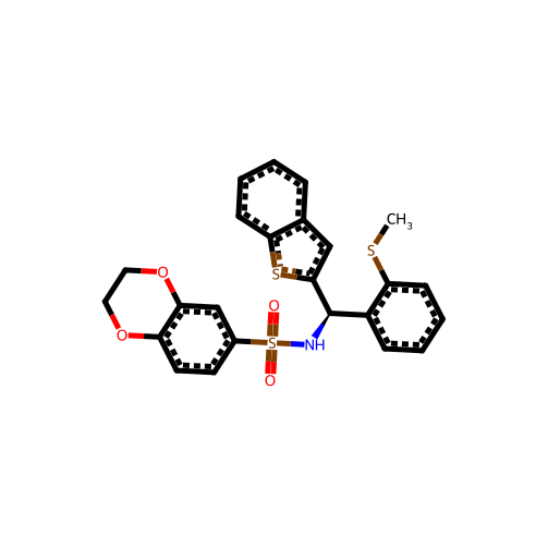 CSc1ccccc1[C@@H](NS(=O)(=O)c1ccc2c(c1)OCCO2)c1cc2ccccc2s1